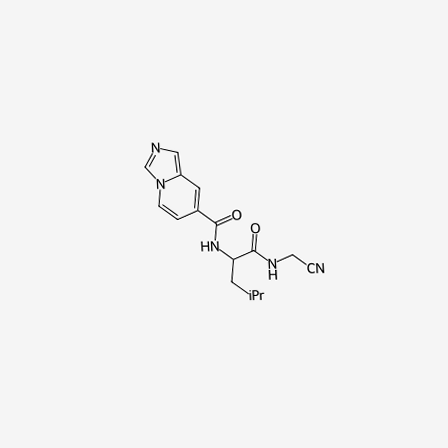 CC(C)CC(NC(=O)c1ccn2cncc2c1)C(=O)NCC#N